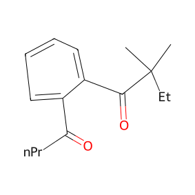 CCCC(=O)c1ccccc1C(=O)C(C)(C)CC